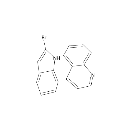 Brc1cc2ccccc2[nH]1.c1ccc2ncccc2c1